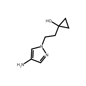 Nc1cnn(CCC2(O)CC2)c1